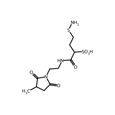 CC1CC(=O)N(CCNC(=O)C(CCSN)S(=O)(=O)O)C1=O